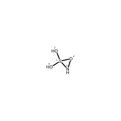 OS1(O)NO1